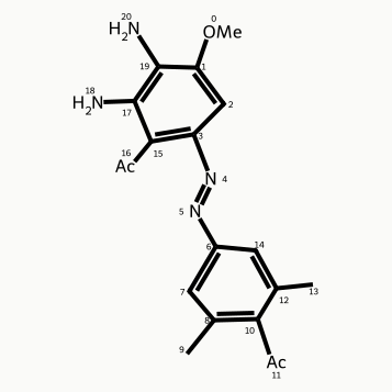 COc1cc(N=Nc2cc(C)c(C(C)=O)c(C)c2)c(C(C)=O)c(N)c1N